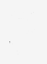 CC(=O)n1cc(C(=O)c2ccc(C)c(C)c2)n(C(C)=O)c1=O